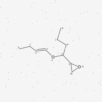 CC/C=C/OC(CCC)C1CO1